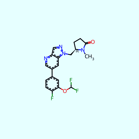 CN1C(=O)CC[C@@H]1Cn1ncc2ncc(-c3ccc(F)c(OC(F)F)c3)cc21